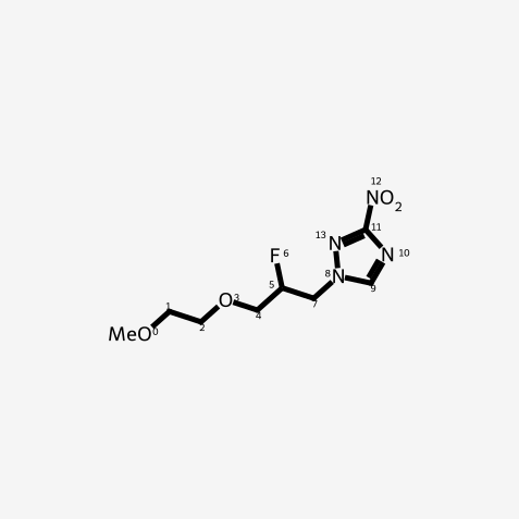 COCCOCC(F)Cn1cnc([N+](=O)[O-])n1